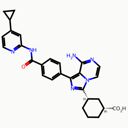 Nc1nccn2c([C@H]3CCC[C@@H](C(=O)O)C3)nc(-c3ccc(C(=O)Nc4cc(C5CC5)ccn4)cc3)c12